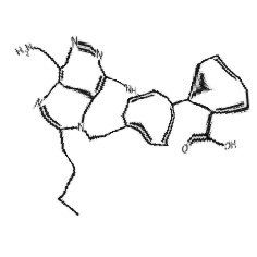 CCCCc1nc2c(N)nnc(N)c2n1Cc1ccc(-c2ccccc2C(=O)O)cc1